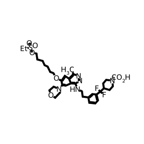 CCS(=O)(=O)OCCCCCCCOc1cc2c(C)nnc(NCCc3cccc(C(F)(F)C4CCN(C(=O)O)CC4)c3)c2cc1N1CCOCC1